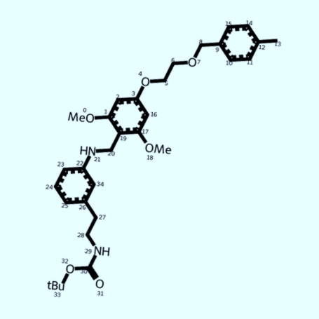 COc1cc(OCCOCc2ccc(C)cc2)cc(OC)c1CNc1cccc(CCNC(=O)OC(C)(C)C)c1